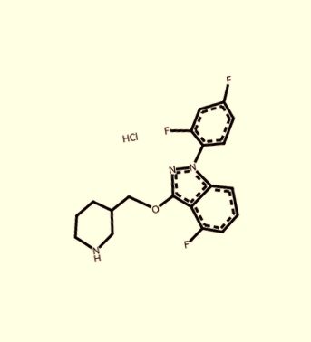 Cl.Fc1ccc(-n2nc(OCC3CCCNC3)c3c(F)cccc32)c(F)c1